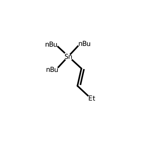 [CH2]CC=[CH][Sn]([CH2]CCC)([CH2]CCC)[CH2]CCC